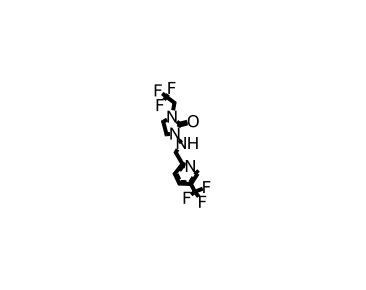 O=C1N(CC(F)(F)F)CCN1NCc1ccc(C(F)(F)F)cn1